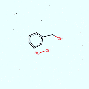 OCc1ccccc1.OO